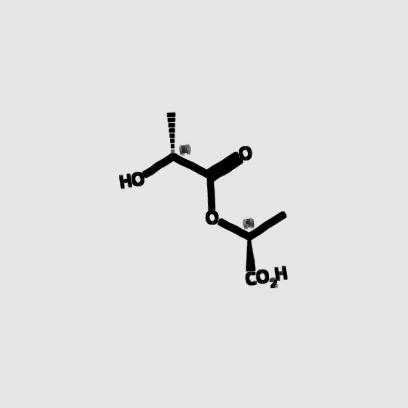 C[C@H](OC(=O)[C@@H](C)O)C(=O)O